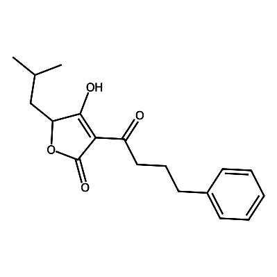 CC(C)CC1OC(=O)C(C(=O)CCCc2ccccc2)=C1O